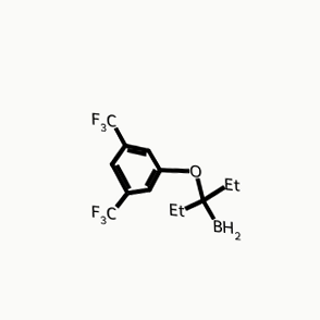 BC(CC)(CC)Oc1cc(C(F)(F)F)cc(C(F)(F)F)c1